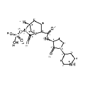 O=C(N[C@H]1CCN(C2CCNCC2)C1=O)C1CC[C@@H]2CN1C(=O)N2OS(=O)(=O)O